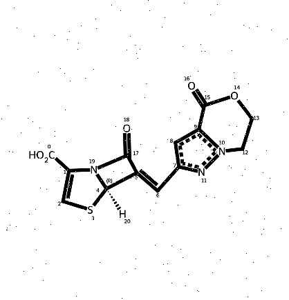 O=C(O)C1=CS[C@@H]2C(=Cc3cc4n(n3)CCOC4=O)C(=O)N12